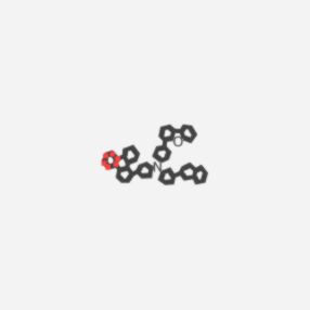 c1ccc(-c2ccccc2-c2c(-c3ccccc3)cccc2-c2ccc(N(c3ccc(-c4cccc5c4oc4ccccc45)cc3)c3cccc(-c4ccc5ccccc5c4)c3)cc2)cc1